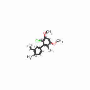 C=Cc1cc(-c2c(C)c(OC)cc(OC)c2Cl)ccc1C